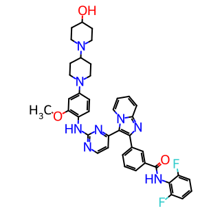 COc1cc(N2CCC(N3CCC(O)CC3)CC2)ccc1Nc1nccc(-c2c(-c3cccc(C(=O)Nc4c(F)cccc4F)c3)nc3ccccn23)n1